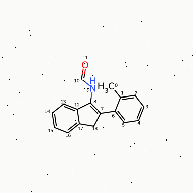 Cc1ccccc1C1=C(NC=O)c2ccccc2C1